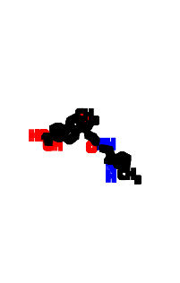 Cc1cccc2c(CCNC(=O)CC[C@@H]3CO[C@@]4(C)CCC5c6ccc(B(O)O)cc6CCC5C34)c[nH]c12